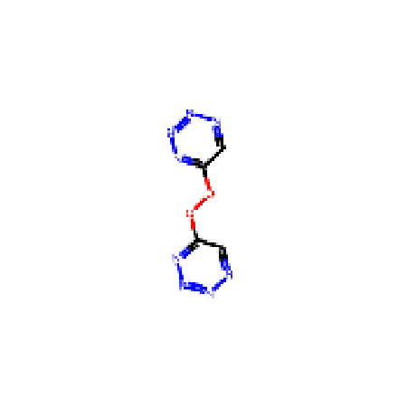 c1nnnnc1OOc1cnnnn1